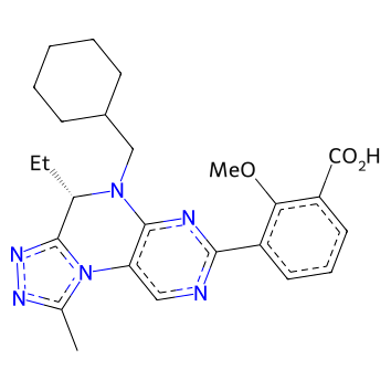 CC[C@H]1c2nnc(C)n2-c2cnc(-c3cccc(C(=O)O)c3OC)nc2N1CC1CCCCC1